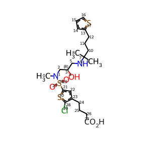 CN(C[C@H](O)CNC(C)(C)CCCc1cccs1)S(=O)(=O)c1cc(CCCC(=O)O)c(Cl)s1